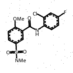 CNS(=O)(=O)c1ccc(OC)c(C(=O)Nc2ccc(F)cc2Cl)c1